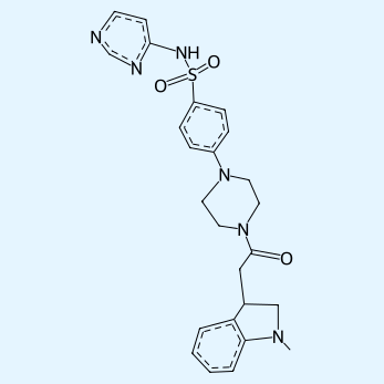 CN1CC(CC(=O)N2CCN(c3ccc(S(=O)(=O)Nc4ccncn4)cc3)CC2)c2ccccc21